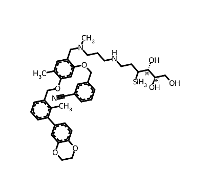 Cc1cc(CN(C)CCCNCCC([SiH3])[C@H](O)[C@H](O)CO)c(OCc2cccc(C#N)c2)cc1OCc1cccc(-c2ccc3c(c2)OCCO3)c1C